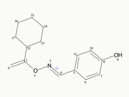 C=C(O/N=C/c1ccc(O)cc1)C1CCCCC1